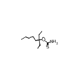 CCCCCC(CC)(CC)OC(N)=S